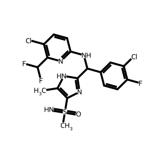 Cc1[nH]c(C(Nc2ccc(Cl)c(C(F)F)n2)c2ccc(F)c(Cl)c2)nc1S(C)(=N)=O